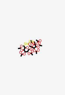 CC(=O)OCC1(OC2OC(CS)C(OC(C)=O)C(OC(C)=O)C2OC(C)=O)OC(CS)(OC(C)=O)C(OC(C)=O)C1OC(C)=O